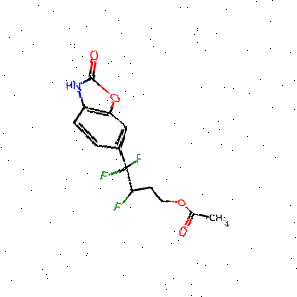 CC(=O)OCCC(F)C(F)(F)c1ccc2[nH]c(=O)oc2c1